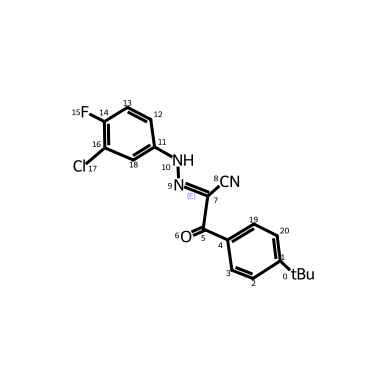 CC(C)(C)c1ccc(C(=O)/C(C#N)=N/Nc2ccc(F)c(Cl)c2)cc1